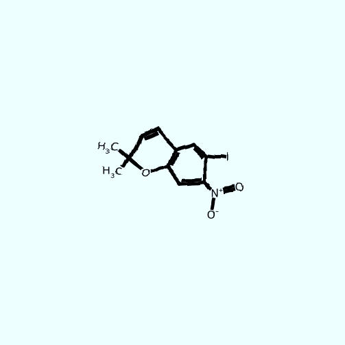 CC1(C)C=Cc2cc(I)c([N+](=O)[O-])cc2O1